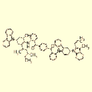 C=CC(C)CC(=C)C1=C(Nc2ccccc2C(=O)c2ccc(C(=O)c3ccccc3-n3c4c(c5ccccc53)C[C@@H](n3c(/C=C\C)c(C)c5ccccc53)C=C4)cc2)C(C)CC(n2c3ccccc3c3ccccc32)C1